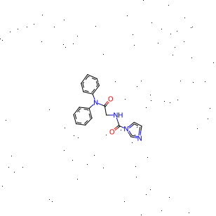 O=C(CNC(=O)n1ccnc1)N(c1ccccc1)c1ccccc1